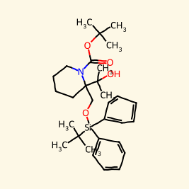 CC(C)(C)OC(=O)N1CCCCC1(CO[Si](c1ccccc1)(c1ccccc1)C(C)(C)C)C(C)(C)O